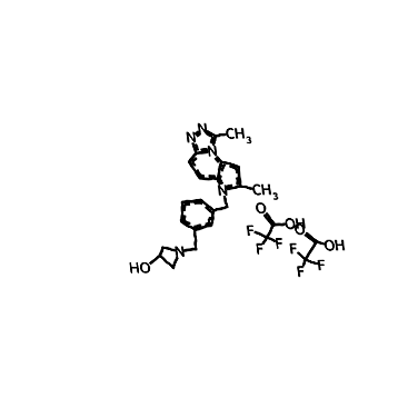 Cc1cc2c(ccc3nnc(C)n32)n1Cc1cccc(CN2CC(O)C2)c1.O=C(O)C(F)(F)F.O=C(O)C(F)(F)F